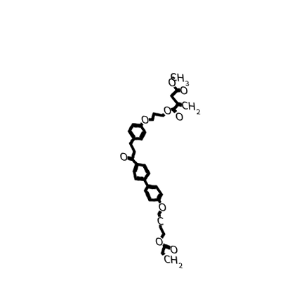 C=CC(=O)OCCCCOc1ccc(-c2ccc(C(=O)CCc3ccc(OCCCOC(=O)C(=C)CC(=O)OC)cc3)cc2)cc1